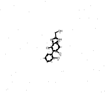 OCc1nc2c(Cl)c(-c3ccccc3Cl)c(Cl)cc2[nH]1